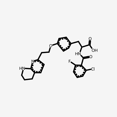 O=C(NC(Cc1ccc(OCCc2ccc3c(n2)NCCC3)cc1)C(=O)O)c1c(F)cccc1Cl